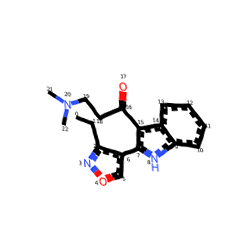 CCc1nocc1-c1[nH]c2ccccc2c1C(=O)CCN(C)C